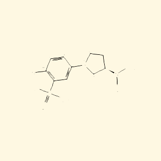 CN(C)[C@@H]1CCN(c2ccc(N)c(P(C)(C)=O)c2)C1